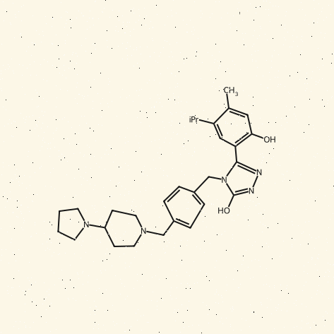 Cc1cc(O)c(-c2nnc(O)n2Cc2ccc(CN3CCC(N4CCCC4)CC3)cc2)cc1C(C)C